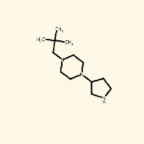 CC(C)(C)CN1CCN(C2CCNC2)CC1